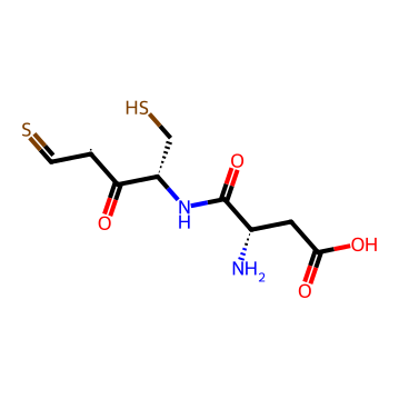 N[C@@H](CC(=O)O)C(=O)N[C@@H](CS)C(=O)[CH]C=S